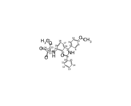 COc1ccc(C(NC(=O)c2ccccc2)c2cccc(Nc3c(OC)c(=O)c3=O)c2)cc1